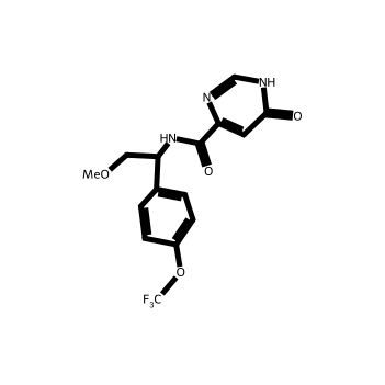 COCC(NC(=O)c1cc(=O)[nH]cn1)c1ccc(OC(F)(F)F)cc1